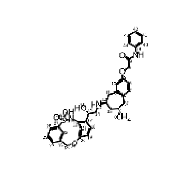 C.O=C(COc1ccc2c(c1)CC(NC[C@H](O)c1ccc3cc1NS(=O)(=O)c1cccc(c1)CO3)CCC2)Nc1ccccc1